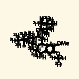 [2H]C([2H])([2H])Oc1cc2c(cc1OC)C1N(C([2H])([2H])C2([2H])[2H])C([2H])([2H])C([2H])(C([2H])([2H])C([2H])(C)C([2H])([2H])[2H])C(OC(=O)[C@@]([2H])(N)C([2H])(C([2H])([2H])[2H])C([2H])([2H])[2H])C1([2H])[2H]